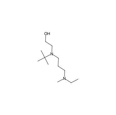 CCN(C)CCCN(CCO)C(C)(C)C